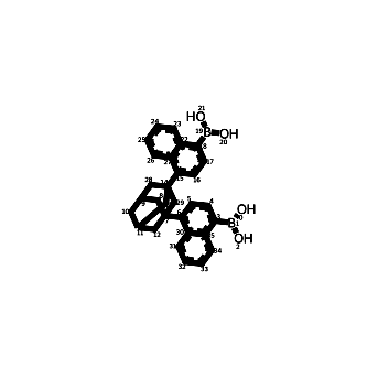 OB(O)c1ccc(C23CC4CC(C2)CC(c2ccc(B(O)O)c5ccccc25)(C4)C3)c2ccccc12